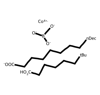 CC(C)(C)CCCCCC(=O)O.CCCCCCCCCCCCCCCCCC(=O)[O-].[Co+4].[O-]B([O-])[O-]